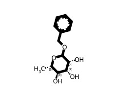 C[C@@H]1OC(OCc2ccccc2)[C@H](O)[C@H](O)[C@H]1O